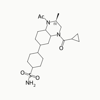 CC(=O)N1C2CCC(C3CCC(S(N)(=O)=O)CC3)CC2N(C(=O)C2CC2)C[C@@H]1C